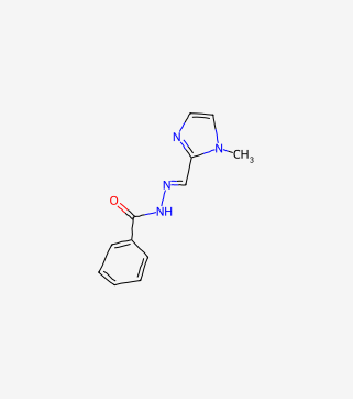 Cn1ccnc1C=NNC(=O)c1ccccc1